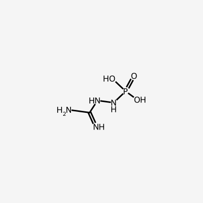 N=C(N)NNP(=O)(O)O